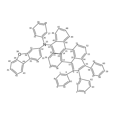 c1ccc(-c2c(-c3ccccc3)c(-c3ccccc3)c3c(-c4ccc(N(c5ccccc5)c5ccc6c(c5)oc5ccccc56)c5ccccc45)cccc3c2-c2ccccc2)cc1